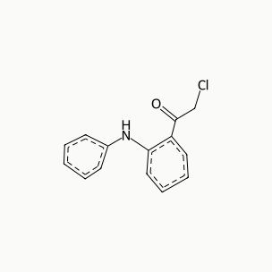 O=C(CCl)c1ccccc1Nc1ccccc1